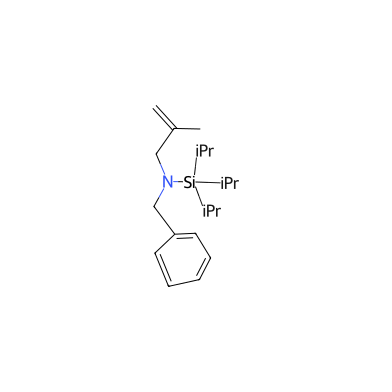 C=C(C)CN(Cc1ccccc1)[Si](C(C)C)(C(C)C)C(C)C